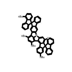 CCCCc1ccc2c(c1)C1(c3ccccc3-c3ccccc31)c1c(C#N)cc3c(c1-2)c1c(CCCC)cc(CCCC)c2c4cc5c(cc4n3c21)-c1ccccc1C51c2ccccc2-c2c(CCCC)cccc21